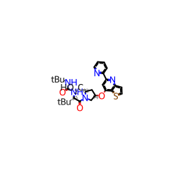 CC(C)(C)NC(=O)N[C@H](C(=O)N1C[C@H](Oc2cc(-c3ccccn3)nc3ccsc23)C[C@H]1C(=O)O)C(C)(C)C